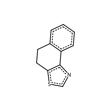 c1ccc2c(c1)CCc1scnc1-2